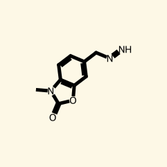 Cn1c(=O)oc2cc(CN=N)ccc21